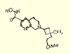 COCCC1(C)CC(N2CCc3cc(C(=O)NO)cnc3C2)C1